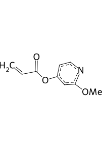 C=CC(=O)Oc1ccnc(OC)c1